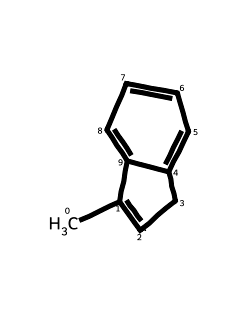 CC1=[C]Cc2ccccc21